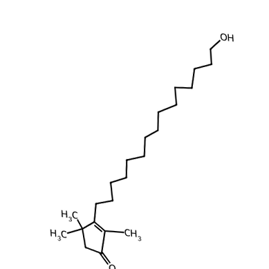 CC1=C(CCCCCCCCCCCCCCCO)C(C)(C)CC1=O